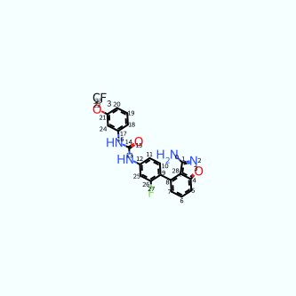 Nc1noc2cccc(-c3ccc(NC(=O)Nc4cccc(OC(F)(F)F)c4)cc3F)c12